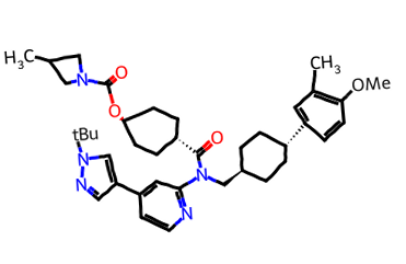 COc1ccc([C@H]2CC[C@H](CN(c3cc(-c4cnn(C(C)(C)C)c4)ccn3)C(=O)[C@H]3CC[C@H](OC(=O)N4CC(C)C4)CC3)CC2)cc1C